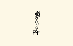 Fc1cc(F)cc(-c2ccc(-c3ccc4cc(-c5ccc(-c6nc7ncccc7s6)cc5)ccc4c3)cc2)c1